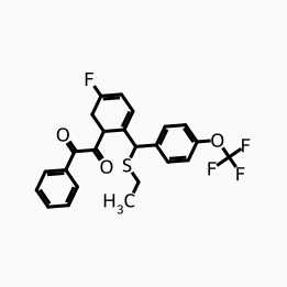 CCSC(C1=CC=C(F)CC1C(=O)C(=O)c1ccccc1)c1ccc(OC(F)(F)F)cc1